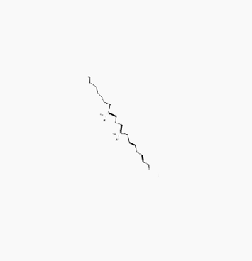 CC/C=C/C/C=C/C/C(=C/C/C=C(/CCCCCC[C]=O)[N+](=O)[O-])[N+](=O)[O-]